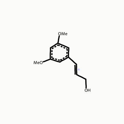 COc1cc(/C=C/CO)cc(OC)c1